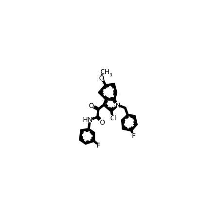 COc1ccc2c(c1)c(C(=O)C(=O)Nc1cccc(F)c1)c(Cl)n2Cc1ccc(F)cc1